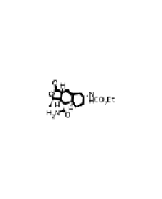 CCOC(=O)N[C@@H]1CC[C@@H]2C(=C[C@H]3C(=O)O[C@H](C)[C@H]3[C@H]2C(N)=O)C1